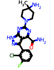 CC1(N)CCN(c2nc(C(N)=O)c3c(-c4cccc(F)c4Cl)n[nH]c3n2)CC1